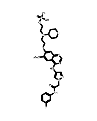 COc1cc2c(Nc3cnn(CC(=O)Nc4cccc(F)c4)c3)ncnc2cc1OCCN(CCOP(=O)(O)O)C1CCOCC1